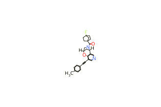 Cc1ccc(C#Cc2cncc3c2O[C@H]2C[C@@H]3N(C(=O)C34CCC(F)(CC3)C4)C2)cc1